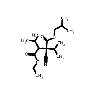 CCOC(=O)C(C(C)C)C(C#N)(C(=O)OCC(C)C)C(C)C